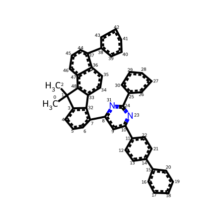 CC1(C)c2cccc(-c3cc(-c4ccc(-c5ccccc5)cc4)nc(-c4ccccc4)n3)c2-c2ccc3c(-c4ccccc4)cccc3c21